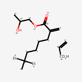 C=C(CCCCC(C)(CC)CC)C(=O)OCC(C)O.C=CC(=O)O